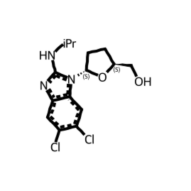 CC(C)Nc1nc2cc(Cl)c(Cl)cc2n1[C@@H]1CC[C@@H](CO)O1